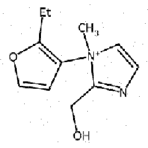 CCc1occc1[N+]1(C)C=CN=C1CO